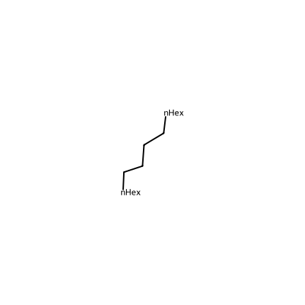 [CH2]CC[CH]CCCCCCCCCCCC